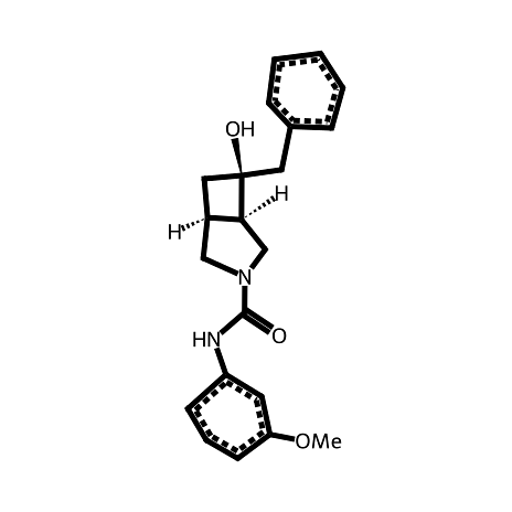 COc1cccc(NC(=O)N2C[C@H]3C[C@](O)(Cc4ccccc4)[C@H]3C2)c1